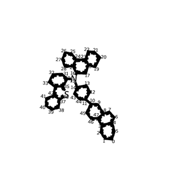 c1ccc2c(c1)ccc1cc(-c3ccc(N(c4cc5ccccc5c5ccccc45)c4cccc5c4sc4ccccc45)cc3)ccc12